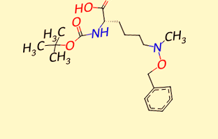 CN(CCCC[C@H](NC(=O)OC(C)(C)C)C(=O)O)OCc1ccccc1